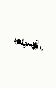 Nc1nc(Cl)nc2c1ncn2CCCCOC(=O)NCc1ccc2ncoc2c1